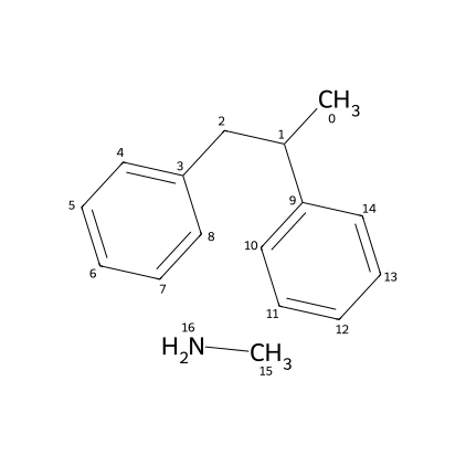 CC(Cc1ccccc1)c1ccccc1.CN